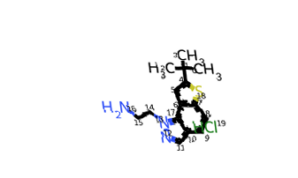 CC(C)(C)c1cc2c(ccc3cnn(CCN)c32)s1.Cl